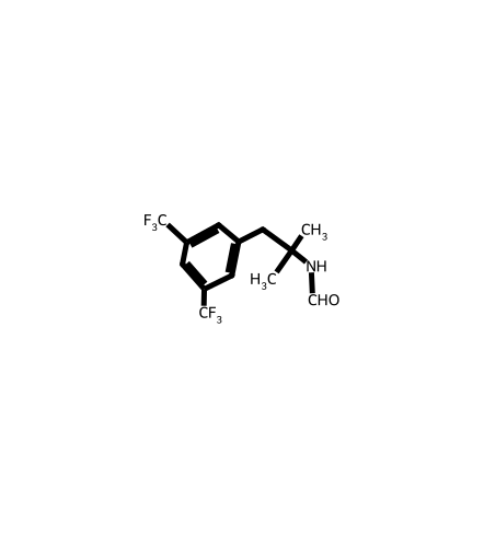 CC(C)(Cc1cc(C(F)(F)F)cc(C(F)(F)F)c1)NC=O